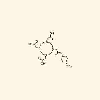 Nc1ccc(OC(=O)CN2CCN(CC(=O)O)CCN(CC(=O)O)CCN(CC(=O)O)CC2)cc1